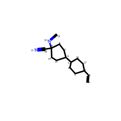 C=CC1CCC(C2CCC(C#N)(N=C)CC2)CC1